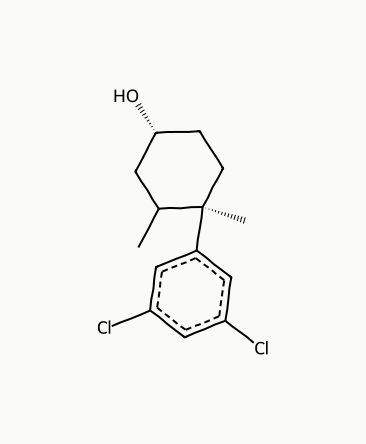 CC1C[C@H](O)CC[C@@]1(C)c1cc(Cl)cc(Cl)c1